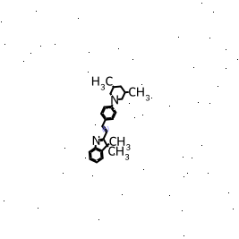 CC1CC(C)CN(c2ccc(/C=C/C3=Nc4ccccc4C3(C)C)cc2)C1